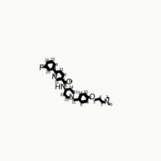 CN(C)CCCOc1ccc(CN2CCC(NC(=O)c3ccc(-c4cccc(F)c4)nc3)CC2)cc1